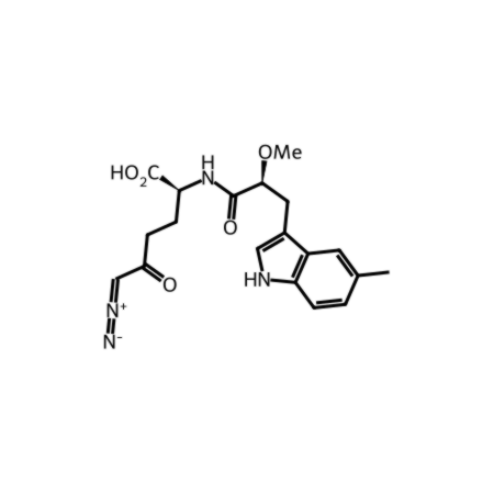 CO[C@@H](Cc1c[nH]c2ccc(C)cc12)C(=O)N[C@@H](CCC(=O)C=[N+]=[N-])C(=O)O